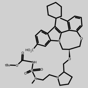 Cc1cccc2c1-c1c(C3CCCCC3)c3ccc(C(=O)O)cc3n1C[C@H](OCC1CCCN1CCN(C)S(=O)(=O)NC(=O)OC(C)(C)C)CO2